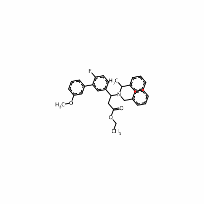 CCOC(=O)CC(c1ccc(F)c(-c2cccc(OC)c2)c1)N(Cc1ccccc1)C(C)c1ccccc1